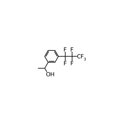 CC(O)c1cccc(C(F)(F)C(F)(F)C(F)(F)F)c1